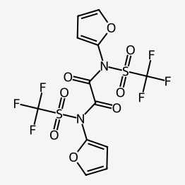 O=C(C(=O)N(c1ccco1)S(=O)(=O)C(F)(F)F)N(c1ccco1)S(=O)(=O)C(F)(F)F